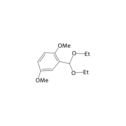 CCOC(OCC)c1cc(OC)ccc1OC